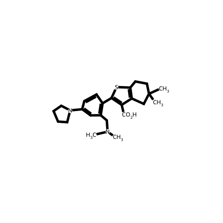 CN(C)Cc1cc(N2CCCC2)ccc1-c1sc2c(c1C(=O)O)CC(C)(C)CC2